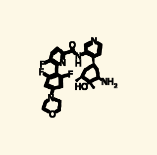 C[C@H]1C[C@@H](c2ccncc2NC(=O)c2ccc(F)c(-c3c(F)cc(N4CCOCC4)cc3F)n2)C[C@@H](N)[C@]1(C)O